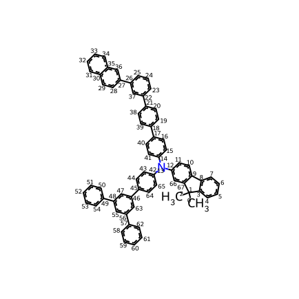 CC1(C)c2ccccc2-c2ccc(N(c3ccc(-c4ccc(-c5cccc(-c6ccc7ccccc7c6)c5)cc4)cc3)c3ccc(-c4cc(-c5ccccc5)cc(-c5ccccc5)c4)cc3)cc21